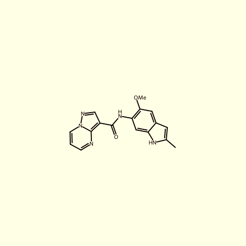 COc1cc2cc(C)[nH]c2cc1NC(=O)c1cnn2cccnc12